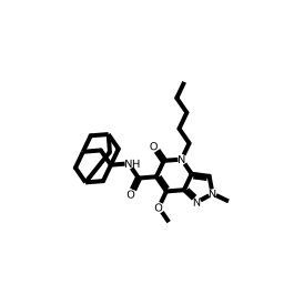 CCCCCn1c(=O)c(C(=O)NC23CC4CC(CC(C4)C2)C3)c(OC)c2nn(C)cc21